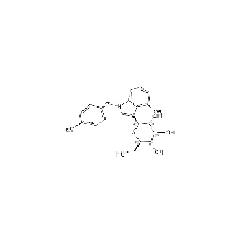 CCc1ccc(Cn2cc([C@@H]3O[C@H](CO)[C@@H](O)[C@H](O)[C@H]3O)c3c(C)cccc32)cc1